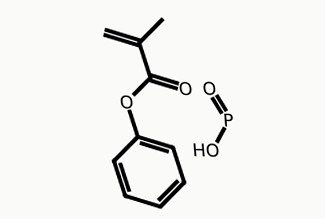 C=C(C)C(=O)Oc1ccccc1.O=PO